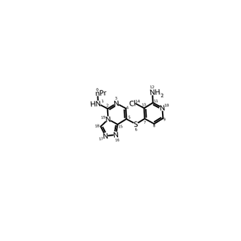 CCCNc1ncc(Sc2ccnc(N)c2Cl)c2nncn12